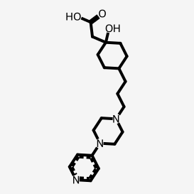 O=C(O)CC1(O)CCC(CCCN2CCN(c3ccncc3)CC2)CC1